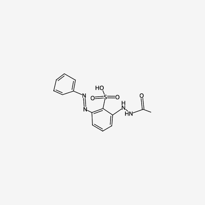 CC(=O)NNc1cccc(N=Nc2ccccc2)c1S(=O)(=O)O